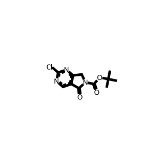 CC(C)(C)OC(=O)N1Cc2nc(Cl)ncc2C1=O